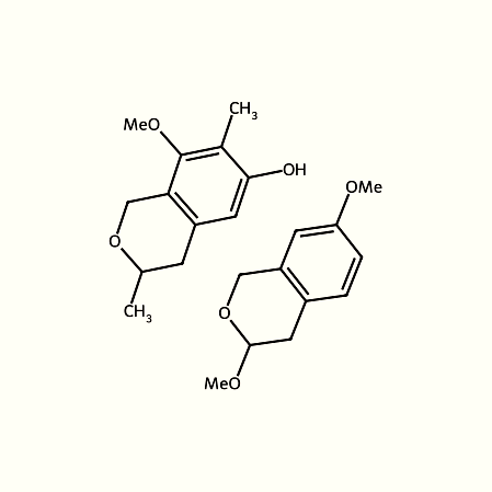 COc1c(C)c(O)cc2c1COC(C)C2.COc1ccc2c(c1)COC(OC)C2